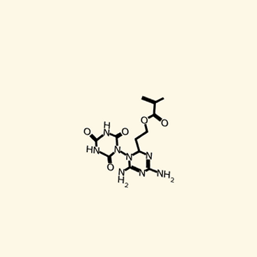 C=C(C)C(=O)OCCC1N=C(N)N=C(N)N1n1c(=O)[nH]c(=O)[nH]c1=O